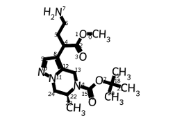 COC(=O)C(CCN)c1cnn2c1CN(C(=O)OC(C)(C)C)[C@@H](C)C2